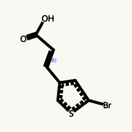 O=C(O)/C=C/c1csc(Br)c1